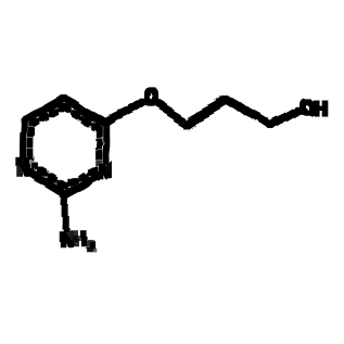 Nc1nccc(OCCCO)n1